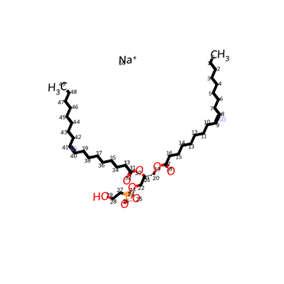 CCCCCCCC/C=C\CCCCCCCC(=O)OC[C@H](COP(=O)([O-])CCO)OC(=O)CCCCCCC/C=C\CCCCCCCC.[Na+]